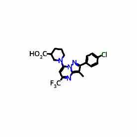 Cc1c(-c2ccc(Cl)cc2)nn2c(N3CCCC(C(=O)O)C3)cc(C(F)(F)F)nc12